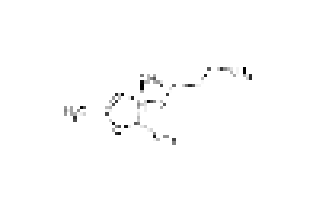 CCCCS[C@@]1(C)C=C(C)OC1C